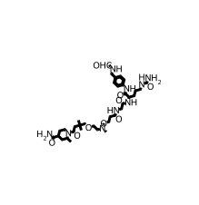 CC1CC(C(N)=O)CCN1C(=O)CC(C)(C)COCCN(C)OCCC(=O)NCC(=O)NC(CCCNC(N)=O)C(=O)Nc1ccc(CNC=O)cc1